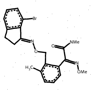 CNC(=O)/C(=N/OC)c1cccc(C)c1CO/N=C1\CCc2cccc(Br)c21